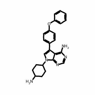 Nc1ncnc2c1c(-c1ccc(Oc3ccccc3)cc1)cn2C1CCC(N)CC1